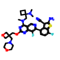 CN(CC1(N(C)C)CCC1)c1nc(OCC2(CN3CCOCC3)COC2)nc2c(F)c(-c3ccc(F)c4sc(N)c(C#N)c34)ncc12